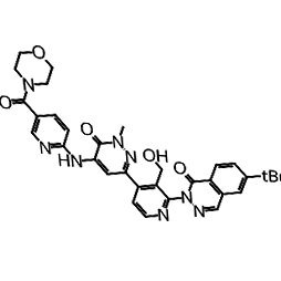 Cn1nc(-c2ccnc(-n3ncc4cc(C(C)(C)C)ccc4c3=O)c2CO)cc(Nc2ccc(C(=O)N3CCOCC3)cn2)c1=O